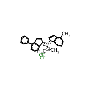 Cc1cccc2c1C=C[CH]2[Zr+2]([CH]1C=Cc2c(-c3ccccc3)cccc21)=[Si](C)C.[Cl-].[Cl-]